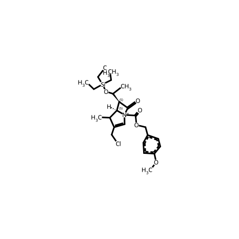 CC[Si](CC)(CC)OC(C)[C@H]1C(=O)[N+]2(C(=O)OCc3ccc(OC)cc3)C=C(CCl)C(C)[C@@H]12